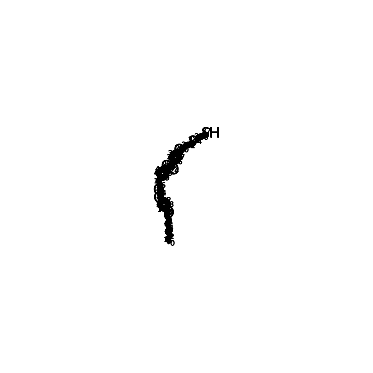 CCCCSCCCOc1ccc(OCOCCc2ccc(OC(=O)c3ccc(OCCCSCCCS)cc3)cc2)cc1